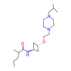 CCCC(C)C(=O)N[C@H]1C[C@H](OCCN2CCN(CC(C)C)CC2)C1